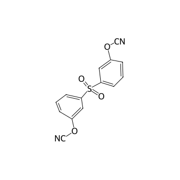 N#COc1cccc(S(=O)(=O)c2cccc(OC#N)c2)c1